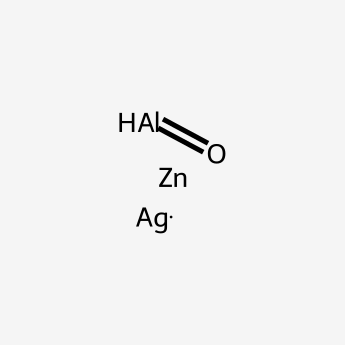 [Ag].[O]=[AlH].[Zn]